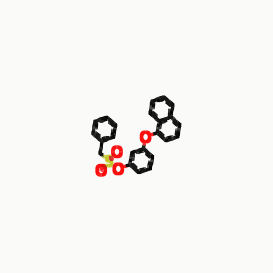 O=S(=O)(Cc1ccccc1)Oc1cccc(Oc2cccc3ccccc23)c1